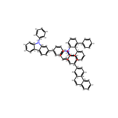 c1ccc(-c2ccccc2-c2c(-c3ccccc3)cccc2N(c2ccc(-c3ccc4c(ccc5ccccc54)c3)cc2)c2ccc(-c3ccc4c5ccccc5n(-c5ccccc5)c4c3)cc2)cc1